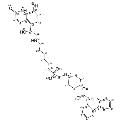 O=C(Nc1ccccc1-c1ccccc1)OC1CCN(CCS(=O)(=O)NCCCCCNCC(O)c2ccc(O)c3[nH]c(=O)ccc23)CC1